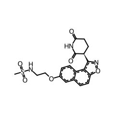 CS(=O)(=O)NCCOc1ccc2c(ccc3onc([C@@H]4CCC(=O)NC4=O)c32)c1